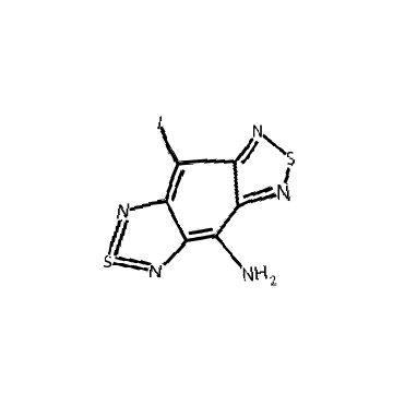 Nc1c2c(c(I)c3nsnc13)N=S=N2